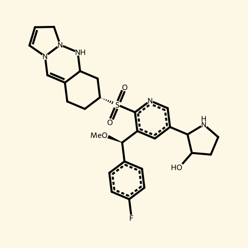 CO[C@H](c1ccc(F)cc1)c1cc(C2NCCC2O)cnc1S(=O)(=O)[C@@H]1CCC2=CN3C=CCN3NC2C1